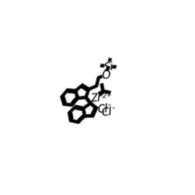 C[C](C)=[Zr+2][C]1(C2C(CCO[Si](C)(C)C)=Cc3ccccc32)C=Cc2ccccc21.[Cl-].[Cl-]